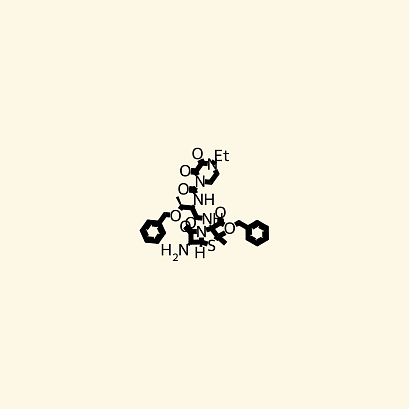 CCN1CCN(C(=O)N[C@@H](C(=O)N[C@@]2(C(=O)OCc3ccccc3)N3C(=O)[C@H](N)[C@H]3SC2(C)C)[C@H](C)OCc2ccccc2)C(=O)C1=O